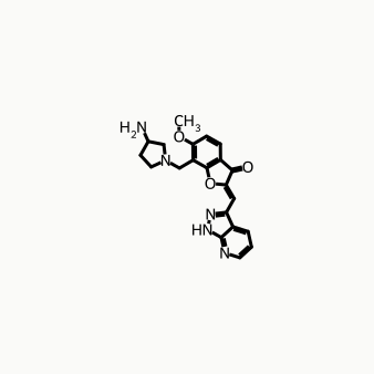 COc1ccc2c(c1CN1CCC(N)C1)O/C(=C\c1n[nH]c3ncccc13)C2=O